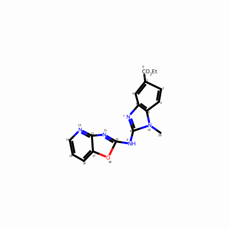 CCOC(=O)c1ccc2c(c1)nc(Nc1nc3ncccc3o1)n2C